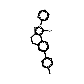 Cc1ccc(-c2ccc3c(c2)CCc2nn(-c4ccccn4)c(O)c2-3)cc1